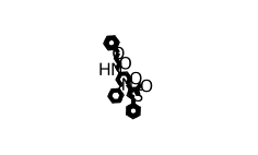 O=Cc1sc(-c2ccccc2)cc1N1C(=O)C[C@H](NC(=O)COc2ccccc2)C[C@@H]1C1CCCCC1